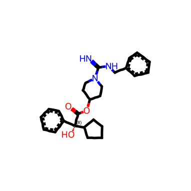 N=C(NCc1ccccc1)N1CCC(OC(=O)[C@](O)(c2ccccc2)C2CCCC2)CC1